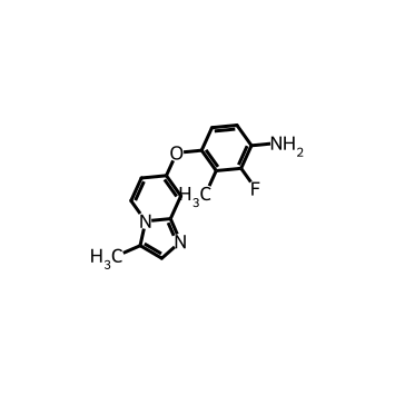 Cc1c(Oc2ccn3c(C)cnc3c2)ccc(N)c1F